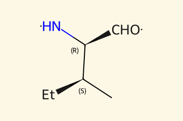 CC[C@H](C)[C@@H]([NH])[C]=O